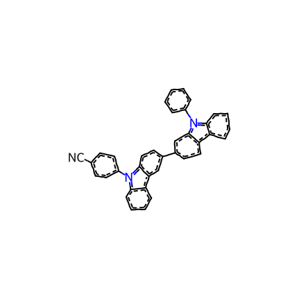 N#Cc1ccc(-n2c3ccccc3c3cc(-c4ccc5c6ccccc6n(-c6ccccc6)c5c4)ccc32)cc1